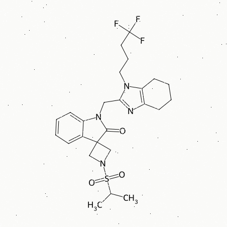 CC(C)S(=O)(=O)N1CC2(C1)C(=O)N(Cc1nc3c(n1CCCC(F)(F)F)CCCC3)c1ccccc12